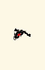 CC(C)CCC[C@@H](C)[C@H]1CC[C@H]2[C@@H]3[C@H](OC4CC4)C[C@H]4N(C)C(=O)CC[C@]4(C)[C@H]3CC[C@]12C